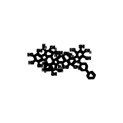 Bc1c(O)c(O)c2c3c(C)c(-c4c(O)c(C)c5c(c4C)c4c(O)c(O)c(C)c(O)c4n5-c4ccc(-c5ccccc5)cc4)c(O)c(O)c3n(-c3c(O)c(C)c(C)c4c5c(O)c(O)c(O)c(O)c5n(-c5ccccc5)c34)c2c1O